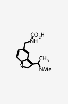 CNC(C)C1=c2cc(CNC(=O)O)ccc2=NC1